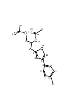 CC(=O)OCC(Cc1nc(-c2ccc(C)cc2)co1)OC(C)=O